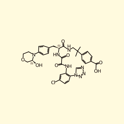 CC(C)(CNC(=O)[C@H](Cc1ccc(N2CCOC[C@@H]2O)cc1)NC(=O)C(=O)Nc1cc(Cl)ccc1-n1cnnn1)c1ccc(C(=O)O)cc1